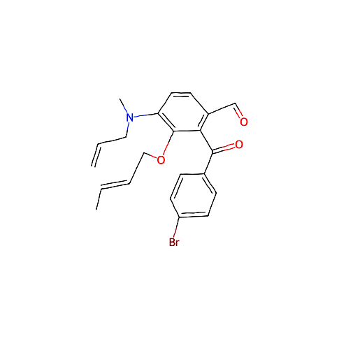 C=CCN(C)c1ccc(C=O)c(C(=O)c2ccc(Br)cc2)c1OCC=CC